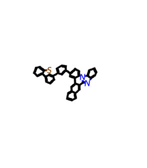 c1cc(-c2ccc3c(c2)c2cc4ccccc4cc2c2nc4ccccc4n32)cc(-c2cccc3c2sc2ccccc23)c1